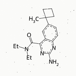 CCN(CC)C(=O)c1nc(N)nc2ccc(C3(C)CCC3)cc12